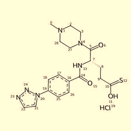 CN1CCN(C(=O)[C@H](CCC(O)=S)NC(=O)c2ccc(-n3ccnn3)cc2)CC1.Cl